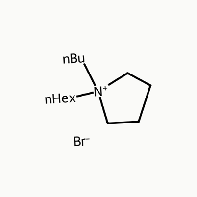 CCCCCC[N+]1(CCCC)CCCC1.[Br-]